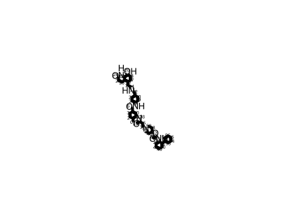 Cc1ccc(C(=O)Nc2ccc(CNCCc3ccc(O)c4[nH]c(=O)ccc34)cc2)cc1N(C)C(=O)CCN1CCC(OC(=O)Nc2ccccc2-c2ccccc2)CC1